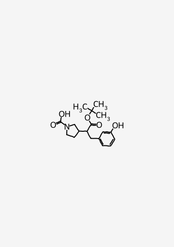 CC(C)(C)OC(=O)C(Cc1cccc(O)c1)C1CCN(C(=O)O)C1